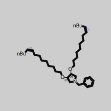 CCCC/C=C\CCCCCCCCO[C@@H]1CN(Cc2ccccc2)C[C@H]1OCCCCCCCC/C=C\CCCC